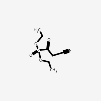 CCOP(=O)(OCC)C(=O)CC#N